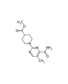 COC(=O)C1CCN(c2ncc(C)c(C(N)=O)n2)CC1